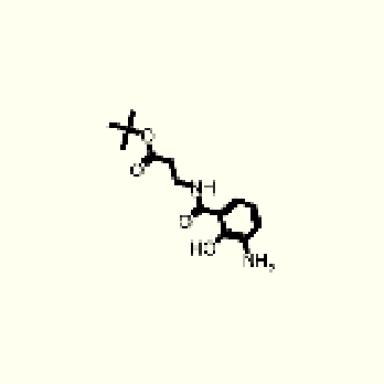 CC(C)(C)OC(=O)CCNC(=O)c1cccc(N)c1O